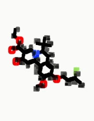 CCOC(=O)c1cn2c(cc1=O)-c1cc(OC)c(OC/C=C(/C)F)cc1CC2C(C)(C)C